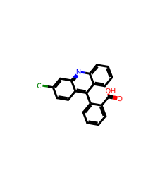 O=C(O)c1ccccc1-c1c2ccccc2nc2cc(Cl)ccc12